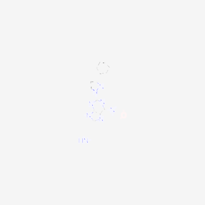 Cn1c(C2CCNCC2)nc2c(N3CCOCC3)nc(-n3ccc(-c4ccccc4)n3)nc21